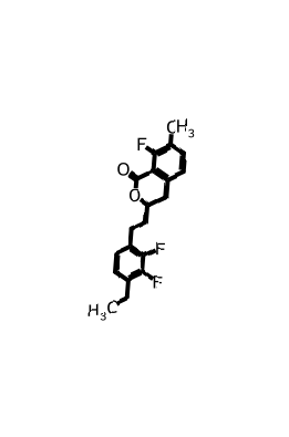 CCc1ccc(CCC2Cc3ccc(C)c(F)c3C(=O)O2)c(F)c1F